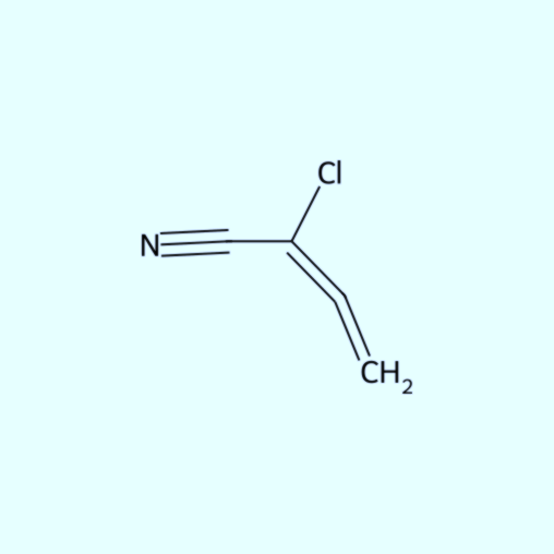 C=C=C(Cl)C#N